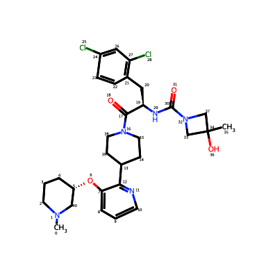 CN1CCC[C@H](Oc2cccnc2C2CCN(C(=O)[C@@H](Cc3ccc(Cl)cc3Cl)NC(=O)N3CC(C)(O)C3)CC2)C1